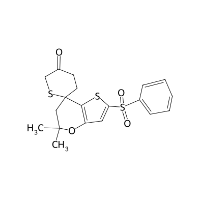 CC1(C)CC2(CCC(=O)CS2)c2sc(S(=O)(=O)c3ccccc3)cc2O1